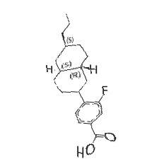 CCC[C@H]1CC[C@@H]2CC(c3ccc(C(=O)O)cc3F)CC[C@H]2C1